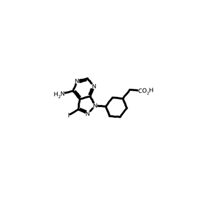 Nc1ncnc2c1c(I)nn2C1CCCC(CC(=O)O)C1